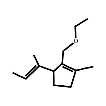 CC=C(C)C1CCC(C)=C1COCC